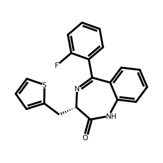 O=C1Nc2ccccc2C(c2ccccc2F)=N[C@H]1Cc1cccs1